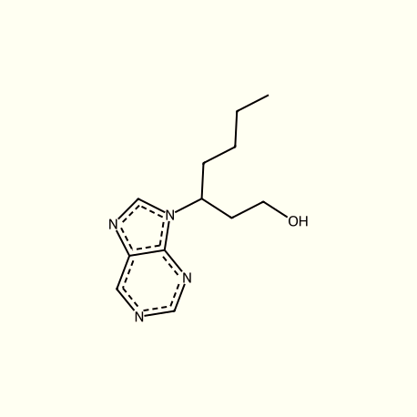 CCCCC(CCO)n1cnc2cncnc21